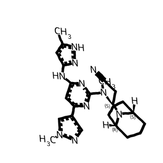 Cc1cc(Nc2cc(-c3cnn(C)c3)nc(N(C)[C@@H]3C[C@H]4CCC[C@@H](C3)N4CCC#N)n2)n[nH]1